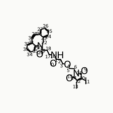 O=C(CCOCCN1C(=O)C(I)=C(I)C1=O)NCCC(=O)N1Cc2ccccc2C#Cc2ccccc21